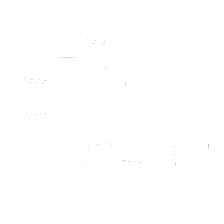 O=C(Nc1cc(C2CC(Nc3ccn(CCO)n3)=CN=N2)ccc1F)c1cc2c(s1)CCCC2